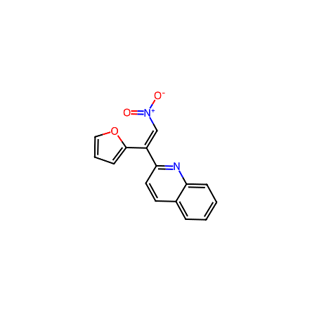 O=[N+]([O-])C=C(c1ccc2ccccc2n1)c1ccco1